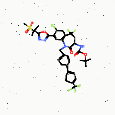 CC(C)(C)OC(=O)NC1CC(F)(F)c2cc(F)c(-c3nnc(C(C)(C)S(C)(=O)=O)o3)cc2N(Cc2ccc(-c3ccc(C(F)(F)F)cc3)cc2)C1=O